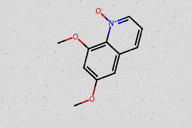 COc1cc(OC)c2c(ccc[n+]2[O-])c1